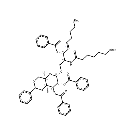 CCCCCCCCCCCCC/C=C/[C@@H](OC(=O)c1ccccc1)[C@H](CO[C@H]1O[C@@H]2COC(c3ccccc3)O[C@@H]2[C@H](OC(=O)c2ccccc2)[C@H]1OC(=O)c1ccccc1)NC(=O)CCCCCCCCCCCCCCC